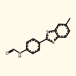 Cc1ccc2nc(-c3ccc(NC=O)cc3)sc2c1